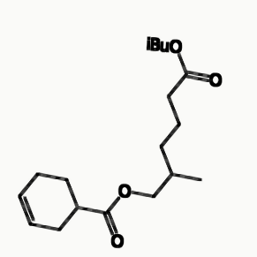 CC(C)COC(=O)CCCC(C)COC(=O)C1CC=CCC1